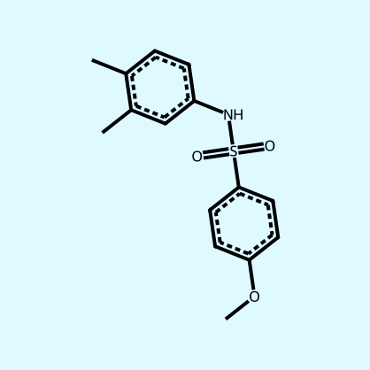 COc1ccc(S(=O)(=O)Nc2ccc(C)c(C)c2)cc1